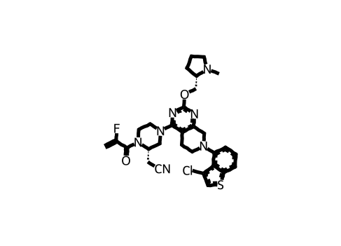 C=C(F)C(=O)N1CCN(c2nc(OC[C@@H]3CCCN3C)nc3c2CCN(c2cccc4scc(Cl)c24)C3)C[C@@H]1CC#N